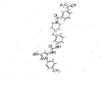 Cc1ccc(-n2nc(C(C)(C)C)cc2NC(=O)Nc2cccc(CC3CCN(C(=O)c4cccc([C@@H](C)C#N)c4)CC3)c2)cc1